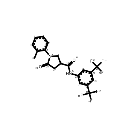 Cc1ccccc1N1CC(C(=O)Nc2cc(C(F)(F)F)cc(C(F)(F)F)c2)CC1=O